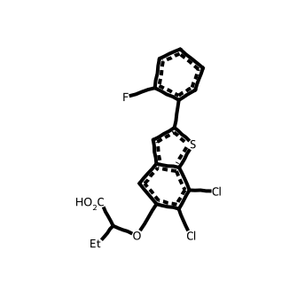 CCC(Oc1cc2cc(-c3ccccc3F)sc2c(Cl)c1Cl)C(=O)O